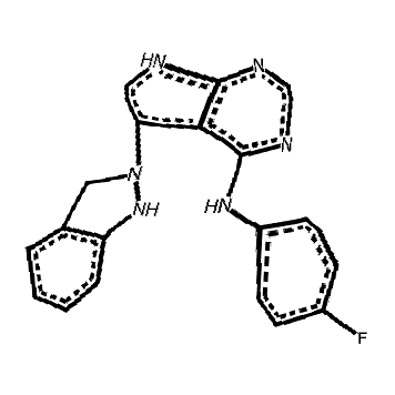 Fc1ccc(Nc2ncnc3[nH]cc(N4Cc5ccccc5N4)c23)cc1